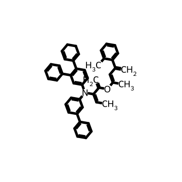 C=C(O/C(C)=C/C(=C)c1ccccc1C)/C(=C\C)N(c1cccc(-c2ccccc2)c1)c1ccc(C2=CCCC=C2)c(-c2ccccc2)c1